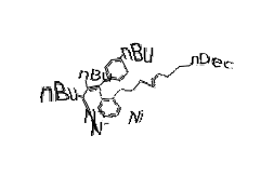 CCCCCCCCCCCCCC=CCCCc1ccccc1C(=C(CCCC)C(=C=[N+]=[N-])CCCC)c1ccc(CCCC)cc1.[Ni]